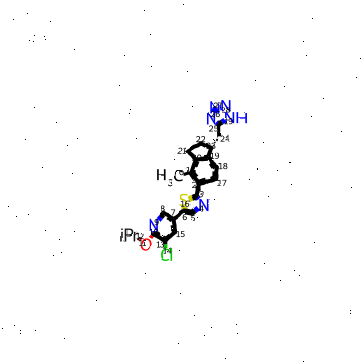 Cc1c(-c2ncc(-c3cnc(OC(C)C)c(Cl)c3)s2)ccc2c1CC[C@@H]2Cc1nnn[nH]1